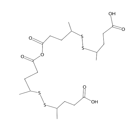 CC(CCC(=O)O)SSC(C)CCC(=O)OC(=O)CCC(C)SSC(C)CCC(=O)O